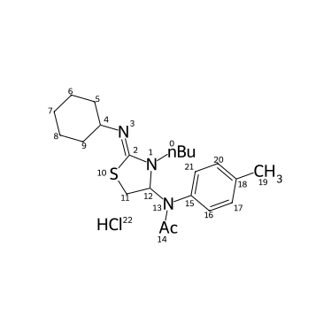 CCCCN1C(=NC2CCCCC2)SCC1N(C(C)=O)c1ccc(C)cc1.Cl